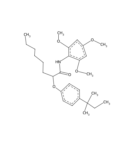 CCCCCCC(Oc1ccc(C(C)(C)CC)cc1)C(=O)Nc1c(OC)cc(OC)cc1OC